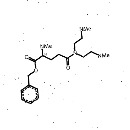 CNCCN(CCNC)C(=O)CC[C@H](NC)C(=O)OCc1ccccc1